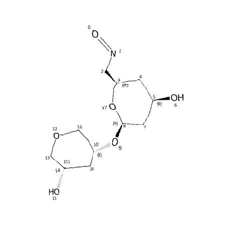 O=NC[C@H]1C[C@@H](O)C[C@@H](O[C@H]2COC[C@@H](O)C2)O1